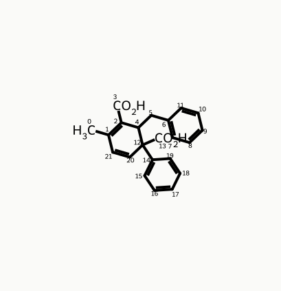 CC1=C(C(=O)O)C(Cc2ccccc2)C(C(=O)O)(c2ccccc2)C=C1